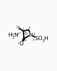 N[C@]1(I)CN(S(=O)(=O)O)C1=O